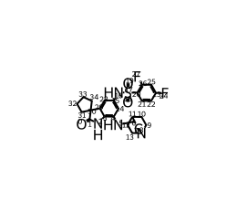 O=C1Nc2c(NC3CN4CCC3CC4)cc(NS(=O)(=O)c3ccc(F)cc3F)cc2C12CCCC2